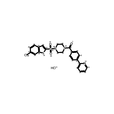 Cl.O=C(c1ccc(-c2ccccn2)cc1)N1CCN(S(=O)(=O)c2cc3ccc(Cl)cc3s2)CC1